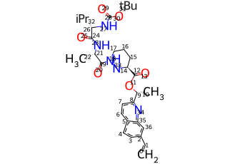 C=Cc1ccc2ccc([C@@H](C)OC(=O)[C@@H]3CCCN(C(=O)[C@H](C)NC(=O)[C@@H](NC(=O)OC(C)(C)C)C(C)C)N3)nc2c1